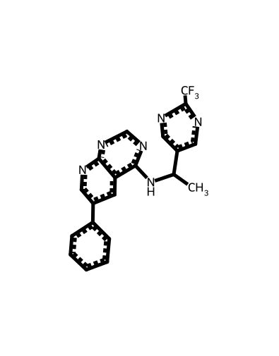 CC(Nc1ncnc2ncc(-c3ccccc3)cc12)c1cnc(C(F)(F)F)nc1